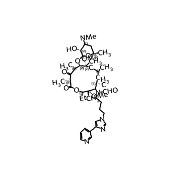 CC[C@H]1OC(=O)[C@H](C)C(=O)[C@H](C)[C@@H](O[C@@H]2O[C@H](C)C[C@H](NC)[C@H]2O)[C@](C)(OC)C[C@@H](C)C[C@H](C)C(N(C=O)CCCCn2cnc(-c3cccnc3)c2)[C@]1(C)OC